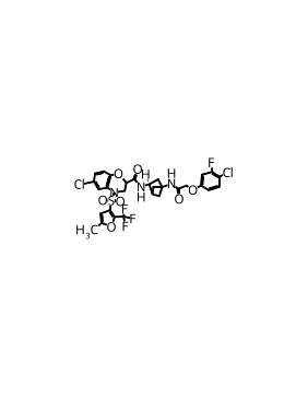 Cc1cc(S(=O)(=O)N2CC(C(=O)N[C@H]3CC4(NC(=O)COc5ccc(Cl)c(F)c5)CC3C4)Oc3ccc(Cl)cc32)c(C(F)(F)F)o1